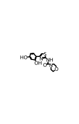 O=C(Nc1nc(-c2ccc(O)cc2O)cs1)N1CCOCC1